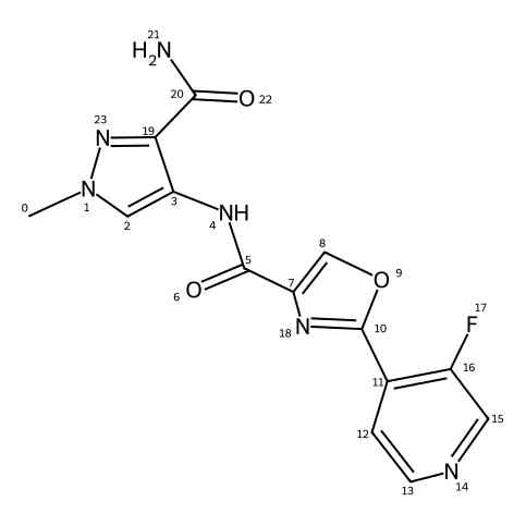 Cn1cc(NC(=O)c2coc(-c3ccncc3F)n2)c(C(N)=O)n1